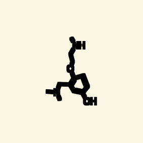 CNCCOc1ccc(O)cc1CN(C)C